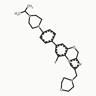 CC(C)N1CCN(c2ccc(-c3cc(F)c4c(c3)OCc3nc(CN5CCOCC5)cn3-4)cc2)CC1